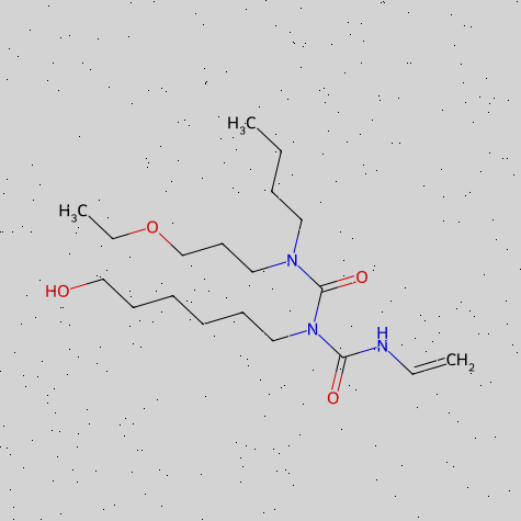 C=CNC(=O)N(CCCCCCO)C(=O)N(CCCC)CCCOCC